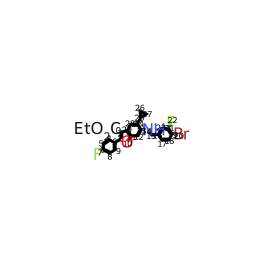 CCOC(=O)c1c(-c2ccc(F)cc2)oc2cc(NCc3ccc(Br)c(F)c3)c(C3CC3)cc12